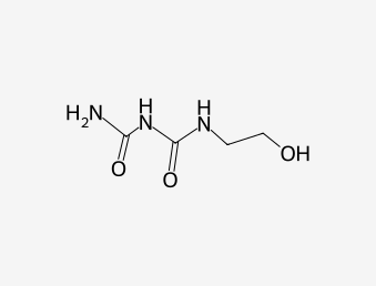 NC(=O)NC(=O)NCCO